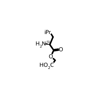 CC(C)C[C@H](N)C(=O)OCC(=O)O